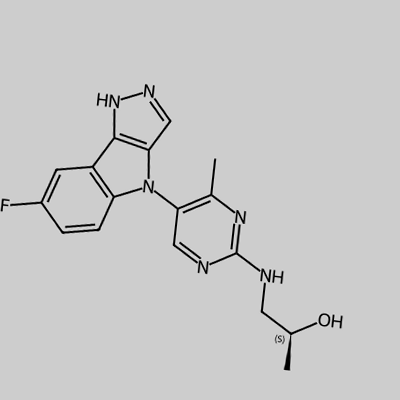 Cc1nc(NC[C@H](C)O)ncc1-n1c2ccc(F)cc2c2[nH]ncc21